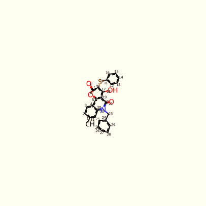 Cc1ccc2c3oc(=O)c(Sc4ccccc4)c(O)c3c(=O)n(Cc3ccccc3)c2c1